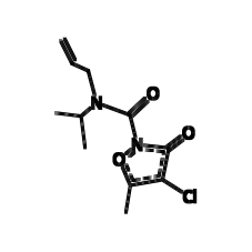 C=CCN(C(=O)n1oc(C)c(Cl)c1=O)C(C)C